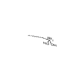 CCCCCCCCCCCCCCCCC=C(N)C(C)(CCO)CCO